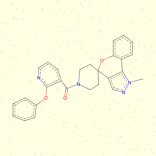 Cn1ncc2c1-c1ccccc1OC21CCN(C(=O)c2cccnc2Oc2ccccc2)CC1